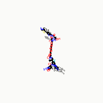 Cc1ncsc1-c1ccc(CNC(=O)[C@@H]2C[C@@H](O)CN2C(=O)C(NC(=O)COCCOCCOCCOCCOCC(=O)N2CC=C(c3cc(NC(=O)c4c[nH]c(=O)cc4C(F)(F)F)c(N4C[C@@H](C)N(C)[C@@H](C)C4)cc3F)CC2)C(C)(C)C)cc1